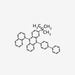 C[Si](C)(C)c1ccc2c(-c3cccc4ccccc34)c3ccccc3c(-c3ccc(-c4ccccc4)cc3)c2c1